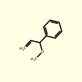 C=C[C](OC)c1ccccc1